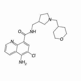 Nc1c(Cl)cc(C(=O)NCC2CCN(CC3CCOCC3)C2)c2ncccc12